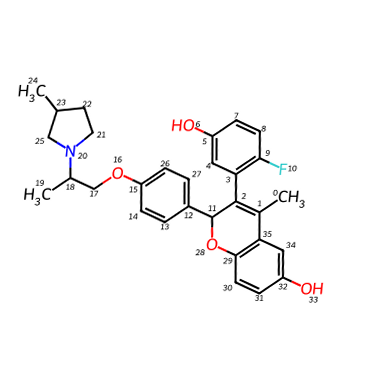 CC1=C(c2cc(O)ccc2F)C(c2ccc(OCC(C)N3CCC(C)C3)cc2)Oc2ccc(O)cc21